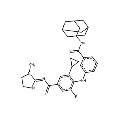 CN1CCN/C1=N\C(=O)c1cc(F)c(Nc2cccc(C(=O)NC34CC5CC(CC(C5)C3)C4)c2)c(C2CC2)c1